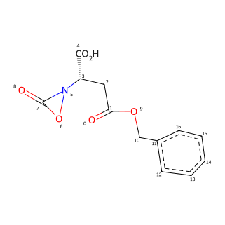 O=C(C[C@@H](C(=O)O)N1OC1=O)OCc1ccccc1